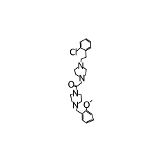 COc1ccccc1CN1CCN(C(=O)CN2CCN(CCc3ccccc3Cl)CC2)CC1